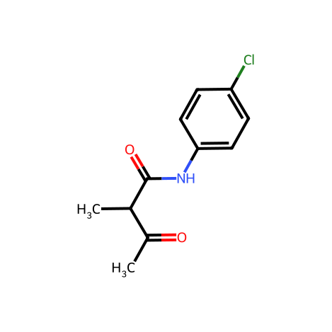 CC(=O)C(C)C(=O)Nc1ccc(Cl)cc1